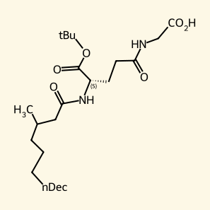 CCCCCCCCCCCCCC(C)CC(=O)N[C@@H](CCC(=O)NCC(=O)O)C(=O)OC(C)(C)C